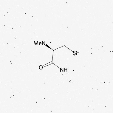 CN[C@@H](CS)C([NH])=O